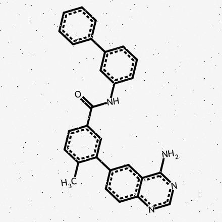 Cc1ccc(C(=O)Nc2cccc(-c3ccccc3)c2)cc1-c1ccc2ncnc(N)c2c1